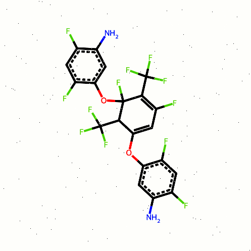 Nc1cc(OC2=CC(F)=C(C(F)(F)F)C(F)(Oc3cc(N)c(F)cc3F)C2C(F)(F)F)c(F)cc1F